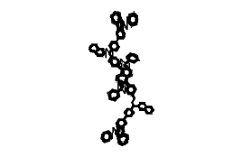 c1ccc(-n2c3ccccc3c3cc(-c4ccc(C(CCc5ccc6c7c8ccc9c(c8ccc7n(-c7ccccc7)c6c5)c5ccc(N(c6ccc(-c7ccc8c(c7)c7ccccc7n8-c7ccccc7)cc6)c6ccc7ccccc7c6)cc5n9-c5ccccc5)c5ccc6ccccc6c5)cc4)ccc32)cc1